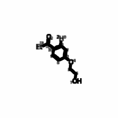 [2H]c1cc(OCCO)ccc1C(=O)CC